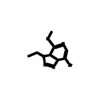 CCN1N=NC2C(Br)=CN=C(OC)C21